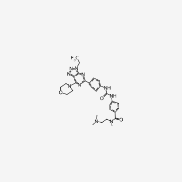 CN(C)CCN(C)C(=O)c1ccc(NC(=O)Nc2ccc(-c3nc(N4CCOCC4)c4nnn(CC(F)(F)F)c4n3)cc2)cc1